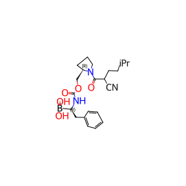 CC(C)CCC(C#N)C(=O)N1CCC[C@@H]1COC(=O)N[C@@H](Cc1ccccc1)B(O)O